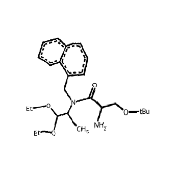 CCOC(OCC)C(C)N(Cc1cccc2ccccc12)C(=O)C(N)COC(C)(C)C